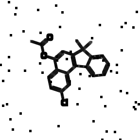 CC(=O)Oc1cc2c(c3cc(Cl)ccc13)-c1ccccc1C2(C)C